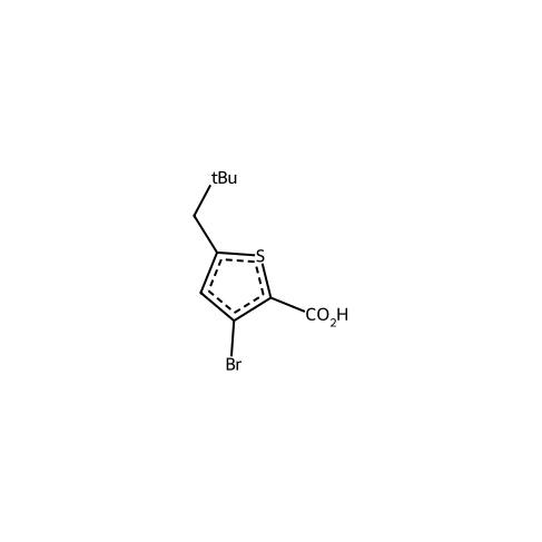 CC(C)(C)Cc1cc(Br)c(C(=O)O)s1